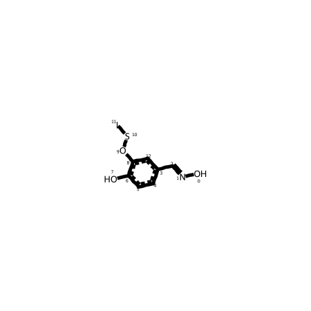 O/N=C/c1ccc(O)c(OSI)c1